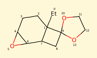 CCC12CCC3OC3C1CC21OCCO1